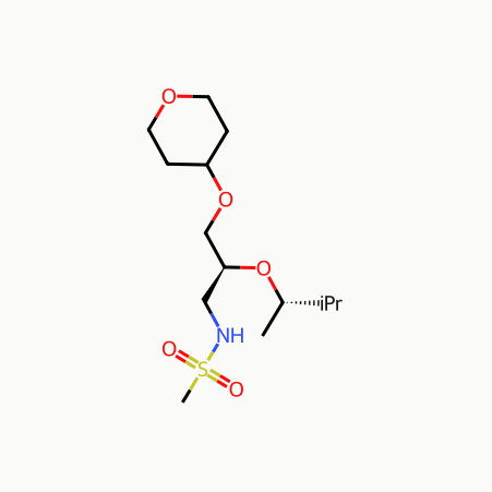 CC(C)[C@H](C)O[C@@H](CNS(C)(=O)=O)COC1CCOCC1